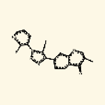 Cc1coc2cc(-c3nnn(-c4cccnc4F)c3C)ccc2c1=O